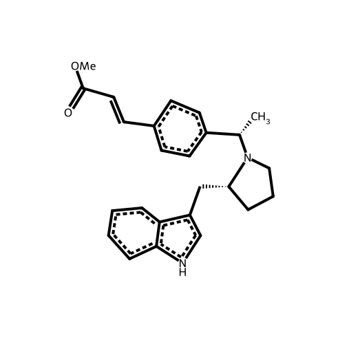 COC(=O)C=Cc1ccc([C@H](C)N2CCC[C@@H]2Cc2c[nH]c3ccccc23)cc1